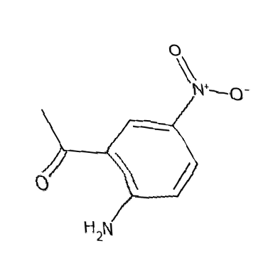 CC(=O)c1cc([N+](=O)[O-])ccc1N